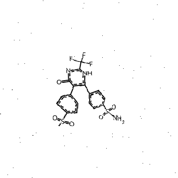 CS(=O)(=O)c1ccc(-c2c(-c3ccc(S(N)(=O)=O)cc3)[nH]c(C(F)(F)F)nc2=O)cc1